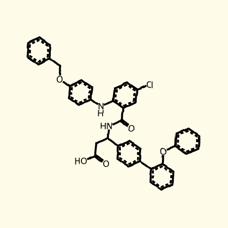 O=C(O)CC(NC(=O)c1cc(Cl)ccc1Nc1ccc(OCc2ccccc2)cc1)c1ccc(-c2ccccc2Oc2ccccc2)cc1